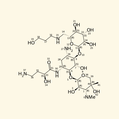 CN[C@@H]1[C@@H](O)[C@@H](O[C@@H]2[C@@H](O)[C@H](O[C@H]3O[C@H](CNCCCO)[C@@H](O)[C@H](O)[C@H]3O)[C@@H](N)C[C@H]2NC(=O)[C@@H](O)CCN)OC[C@]1(C)O